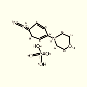 O=S(=O)(O)O.[N-]=[N+]=C1C=CC(N2CCOCC2)=CC1